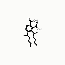 CCCCC(C)c1ccc(C(=O)O)c(C(=O)O)c1C(C)CCCC